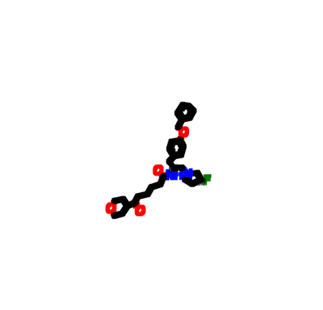 O=C(CCCCC(=O)C1CCOCC1)N[C@@H](Cc1ccc(OCc2ccccc2)cc1)CN1CC[C@@H](F)C1